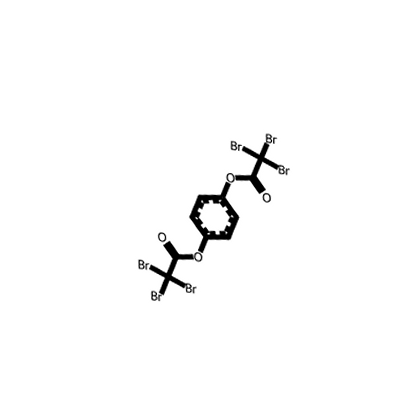 O=C(Oc1ccc(OC(=O)C(Br)(Br)Br)cc1)C(Br)(Br)Br